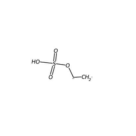 [CH2][C]OS(=O)(=O)O